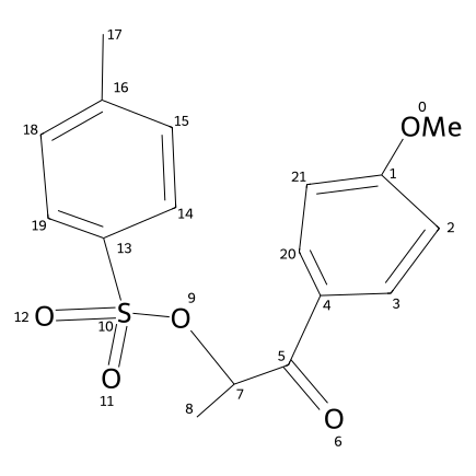 COc1ccc(C(=O)C(C)OS(=O)(=O)c2ccc(C)cc2)cc1